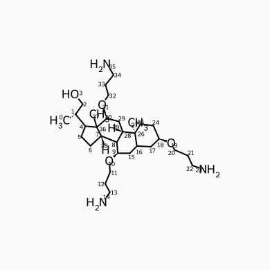 C[C@H](CO)C1CC[C@H]2C3[C@H](OCCCN)CC4C[C@H](OCCCN)CC[C@]4(C)[C@H]3C[C@H](OCCCN)C12C